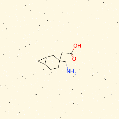 NCC1(CC(=O)O)CCC2CC2C1